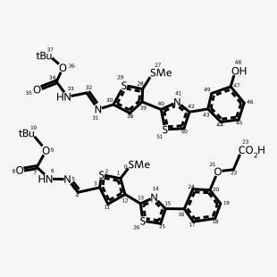 CSc1sc(C=NNC(=O)OC(C)(C)C)cc1-c1nc(-c2cccc(OCC(=O)O)c2)cs1.CSc1sc(N=CNC(=O)OC(C)(C)C)cc1-c1nc(-c2cccc(O)c2)cs1